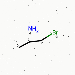 CCCBr.N